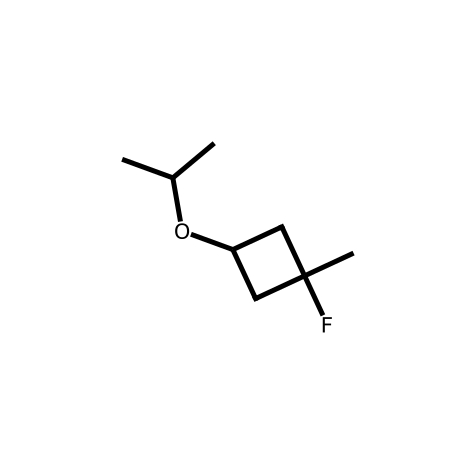 CC(C)OC1CC(C)(F)C1